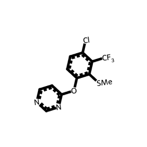 CSc1c(Oc2ccncn2)ccc(Cl)c1C(F)(F)F